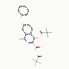 Cc1nc(C(=O)OC(=O)C(C)(C)C)c(OC(=O)C(C)(C)C)c2ccc(Oc3ccccc3)cc12